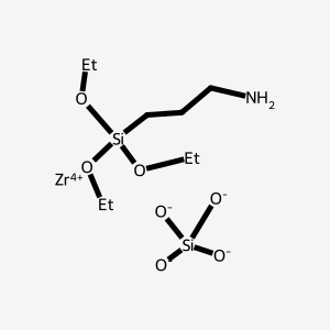 CCO[Si](CCCN)(OCC)OCC.[O-][Si]([O-])([O-])[O-].[Zr+4]